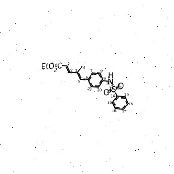 CCOC(=O)/C=C/C(C)=C/c1ccc(NS(=O)(=O)c2ccccc2)cc1